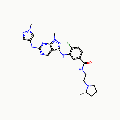 C[C@H]1CCCN1CCNC(=O)c1ccc(F)c(Nc2nn(C)c3nc(Nc4cnn(C)c4)ncc23)c1